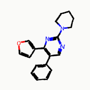 c1ccc(-c2cnc(N3CCCCC3)nc2-c2ccoc2)cc1